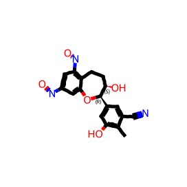 Cc1c(O)cc([C@H]2Oc3cc(N=O)cc(N=O)c3CC[C@@H]2O)cc1C#N